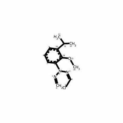 C=NN(/N=C\Cl)c1cccc(C(C)C)c1OC